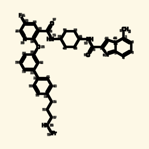 Cc1cccc2nc(C(=O)NC3CCC(NC(=O)c4cc(F)cnc4Oc4cccc(-c5ccc(CCCNC(C)C)cc5)c4)CC3)cn12